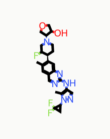 Cc1cc2cnc(Nc3cnn(C4CC4(F)F)c3C)nc2cc1[C@@H]1CCN([C@@H]2COCC2O)CC1F